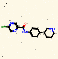 O=C(NC1=CCC([C@@H]2CCCNC2)C=C1)c1cnc(Br)cn1